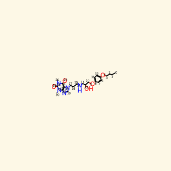 CCCCOc1ccc(OCC(O)CNCCCn2cnc3c2c(=O)n(C)c(=O)n3C)cc1